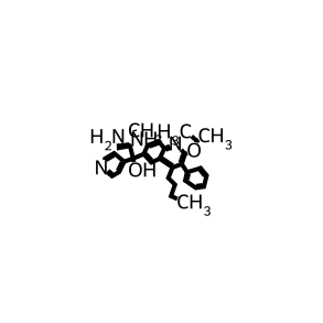 CCCCc1c(-c2ccccc2)c(OC(C)C)nc2ccc(C(O)(/C(=C/N)NC)c3ccncc3)cc12